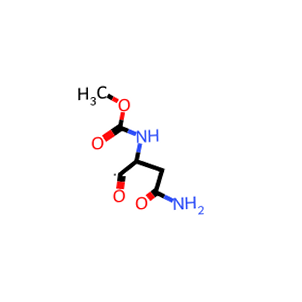 COC(=O)NC([C]=O)CC(N)=O